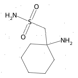 NC1(CS(N)(=O)=O)CCCCC1